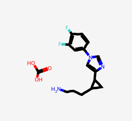 NCCCC1CC1c1cn(-c2ccc(F)c(F)c2)cn1.O=C(O)O